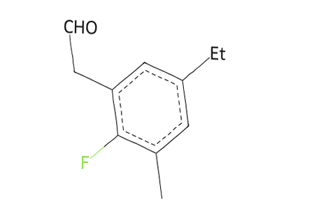 CCc1cc(C)c(F)c(CC=O)c1